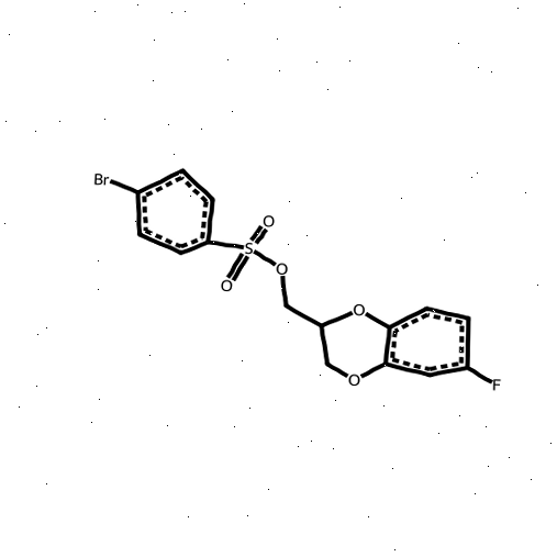 O=S(=O)(OCC1COc2cc(F)ccc2O1)c1ccc(Br)cc1